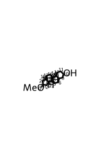 CO[C@@H]1C[C@@H]2[C@H]3CCC4CC(O)CC[C@@]4(C)[C@@H]3CC[C@@]2(C)C1